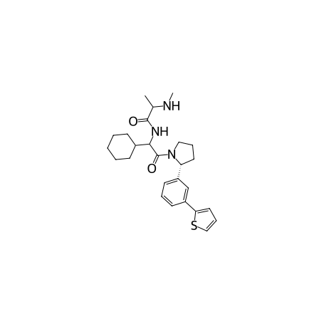 CNC(C)C(=O)NC(C(=O)N1CCC[C@@H]1c1cccc(-c2cccs2)c1)C1CCCCC1